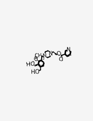 COc1c(CN2CCN(CCOC(=O)c3cccnc3)CC2)ccc(CO)c1CO